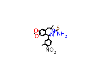 Cc1cc(C2=NN(C(N)=S)[C@H](C)Cc3cc4c(cc32)OCO4)ccc1[N+](=O)[O-]